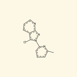 Cc1cccc(-n2nc3ncccc3c2Cl)n1